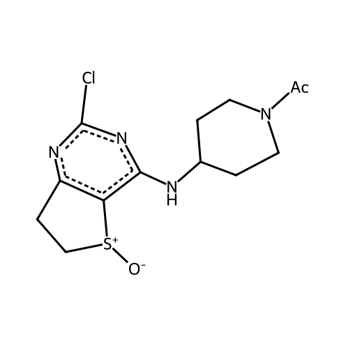 CC(=O)N1CCC(Nc2nc(Cl)nc3c2[S+]([O-])CC3)CC1